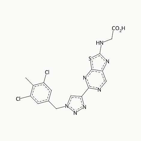 Cc1c(Cl)cc(Cn2cc(-c3ncc4nc(NCC(=O)O)sc4n3)nn2)cc1Cl